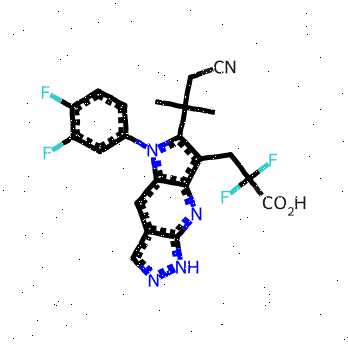 CC(C)(CC#N)c1c(CC(F)(F)C(=O)O)c2nc3[nH]ncc3cc2n1-c1ccc(F)c(F)c1